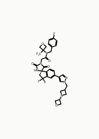 O=C1N[C@]2(CC(F)(F)c3cc(-c4cnn(CC5CN(C6COC6)C5)c4)ccc32)C(=O)N1CC(=O)N(Cc1ccc(F)cc1)C1(C(F)(F)F)COC1